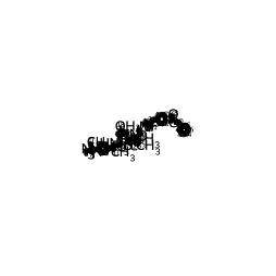 Cc1ncsc1-c1ccc(C(C)NC(=O)[C@@H]2C[C@@H](O)CN2C(=O)C(NC(=O)CN2CC(F)(CC3CCN(C(=O)OCc4ccccc4)CC3)C2)C(C)(C)C)cc1